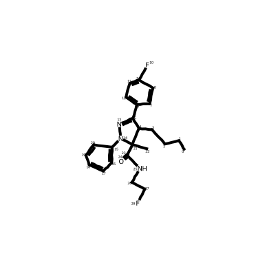 CCCCC1C(c2ccc(F)cc2)=NN(c2ccccc2)C1(C)C(=O)NCCF